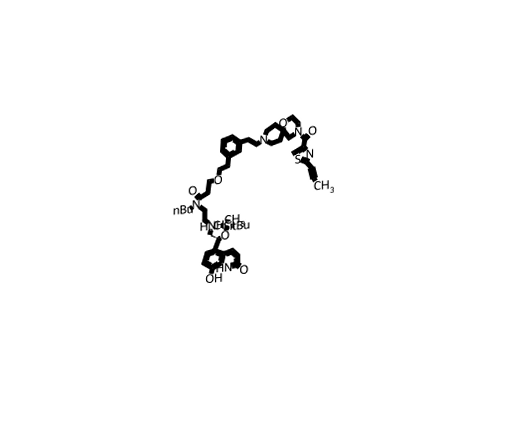 CC#Cc1nc(C(=O)N2CCOC3(CCN(CCc4cccc(CCOCCC(=O)N(CCCC)CCNC[C@H](O[Si](C)(C)C(C)(C)C)c5ccc(O)c6[nH]c(=O)ccc56)c4)CC3)C2)cs1